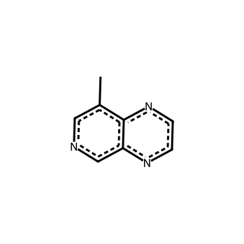 Cc1cncc2nccnc12